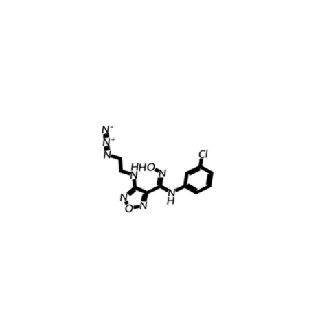 [N-]=[N+]=NCCNc1nonc1C(=NO)Nc1cccc(Cl)c1